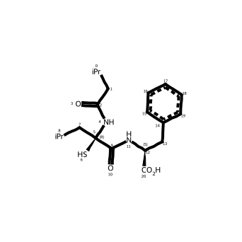 CC(C)CC(=O)N[C@@](S)(CC(C)C)C(=O)N[C@@H](Cc1ccccc1)C(=O)O